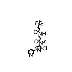 CCN(C(=O)CCNC(=O)/C=C/C(F)(F)F)c1cn(-c2cccnc2)nc1Cl